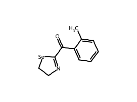 Cc1ccccc1C(=O)C1=NCC[Se]1